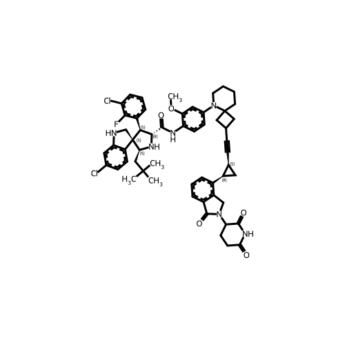 COc1cc(N2CCCCC23CC(C#C[C@H]2C[C@H]2c2cccc4c2CN(C2CCC(=O)NC2=O)C4=O)C3)ccc1NC(=O)[C@@H]1N[C@@H](CC(C)(C)C)[C@@]2(CNc3cc(Cl)ccc32)[C@H]1c1cccc(Cl)c1F